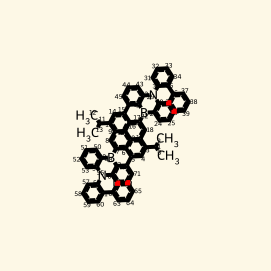 CC(C)c1cc2c3c(cc4c(C(C)C)cc5c6c(cc1c3c46)B1c3ccccc3N(c3ccccc3-c3ccccc3)c3cccc-5c31)B1c3ccccc3N(c3ccccc3-c3ccccc3)c3cccc-2c31